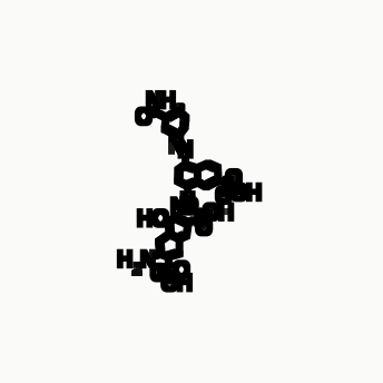 NC(=O)c1cccc(N=Nc2ccc(N=Nc3c(S(=O)(=O)O)cc4cc(S(=O)(=O)O)c(N)cc4c3O)c3cc(S(=O)(=O)O)ccc23)c1